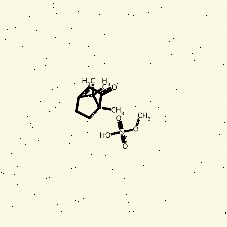 CC1(C)C2=CC(=O)C1(C)CC2.COS(=O)(=O)O